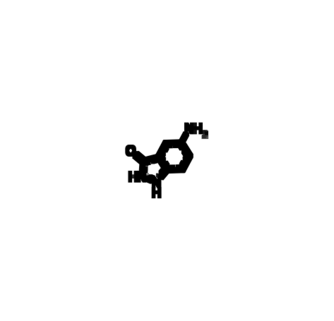 Nc1ccc2[nH][nH]c(=O)c2c1